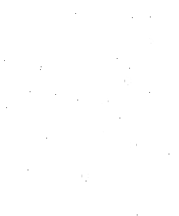 C=CC(=O)C(=O)OOC=S